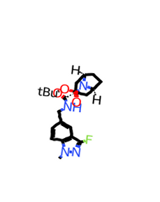 Cn1nc(F)c2cc(CNC(=O)[C@@H]3C[C@H]4CC[C@@H](C3)N4C(=O)OC(C)(C)C)ccc21